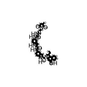 CCC1CN(C(=O)c2cc3cc(NC(=O)c4cc5cc(NC(=O)N/N=C/CN6C(=O)CC(C)C6=O)ccc5[nH]4)ccc3[nH]2)c2cc(O)c3ccccc3c21